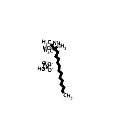 CCCCCCCCCCCCCC(C)(C)C(C)(N)O.[O-][Cl+3]([O-])([O-])O